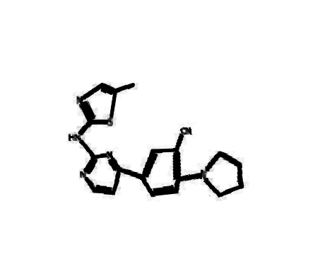 Cc1cnc(Nc2nccc(-c3ccc(N4CCCC4)c(C#N)c3)n2)s1